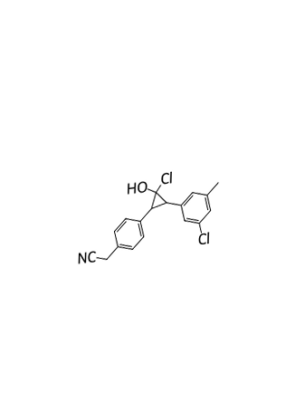 Cc1cc(Cl)cc(C2C(c3ccc(CC#N)cc3)C2(O)Cl)c1